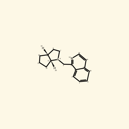 c1ccc2c(CN3CC[C@H]4CCC[C@H]43)nccc2c1